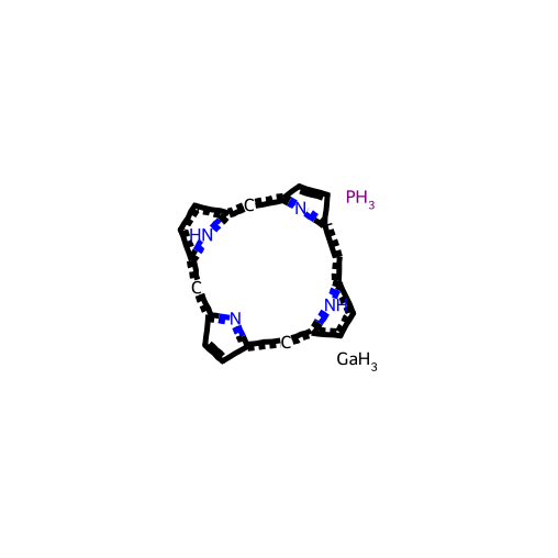 C1=Cc2cc3ccc(cc4nc(cc5ccc(cc1n2)[nH]5)C=C4)[nH]3.P.[GaH3]